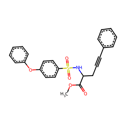 COC(=O)C(CC#Cc1ccccc1)NS(=O)(=O)c1ccc(Oc2ccccc2)cc1